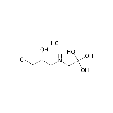 Cl.OC(CCl)CNCC(O)(O)O